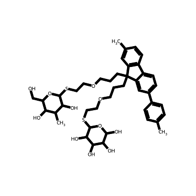 Cc1ccc(-c2ccc3c(c2)C(CCCOCCSC2OC(CO)C(O)C(C)C2O)(CCCOCCSC2OC(O)C(O)C(O)C2O)c2cc(C)ccc2-3)cc1